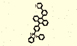 c1ccc(-n2c(-c3ccc(-c4c5ccccc5c(-c5cccc(-c6cccnc6)c5)c5ccccc45)cc3)nc3ccccc32)cc1